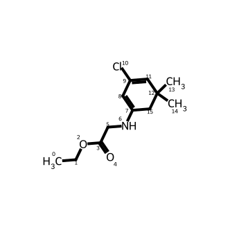 CCOC(=O)CNC1=CC(Cl)=CC(C)(C)C1